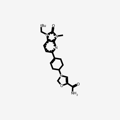 Cn1c(=O)n(CC(C)(C)C)c2ccc(C3=CCC(N4C=C(C(N)=O)OC4)CC3)nc21